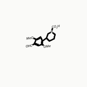 COc1cc(C2CCCN(C(=O)O)C2)c(OC)cc1C=O